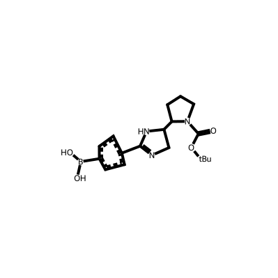 CC(C)(C)OC(=O)N1CCCC1C1CN=C(c2ccc(B(O)O)cc2)N1